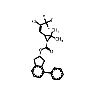 CC1(C)C(/C=C(/Cl)C(F)(F)F)[C@@H]1C(=O)O[C@@H]1Cc2cccc(-c3ccccc3)c2C1